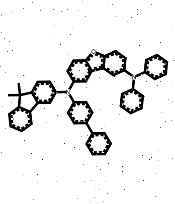 CC1(C)c2ccccc2-c2cc(N(c3ccc(-c4ccccc4)cc3)c3ccc4oc5ccc(N(c6ccccc6)c6ccccc6)cc5c4c3)ccc21